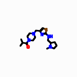 CC(C)C(=O)N1CCN(Cc2csc(NCC3CCCN3C)n2)CC1